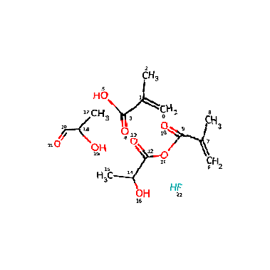 C=C(C)C(=O)O.C=C(C)C(=O)OC(=O)C(C)O.CC(O)C=O.F